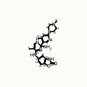 CC1=CNC(N)(c2cnc(N3CCN(C)CC3)cc2C)N=C1Nc1ccc2oc(=O)[nH]c2c1